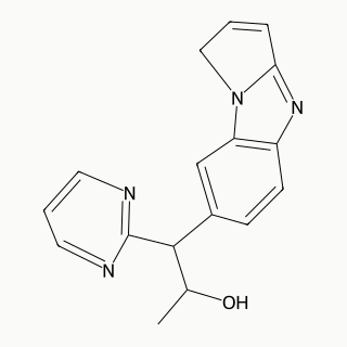 CC(O)C(c1ccc2nc3n(c2c1)CC=C3)c1ncccn1